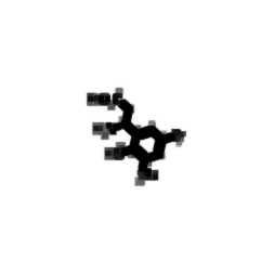 CCOC(=O)C[C@H](N)c1cc(Br)cc(C(C)(C)C)c1O